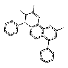 CC1=Nc2c(ccc3c(-c4ccccc4)cc(C)nc23)C(c2ccccc2)C1C